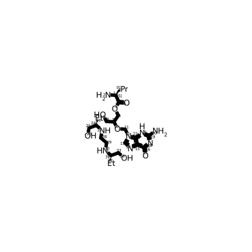 CC(C)[C@H](N)C(=O)OCC(CO)OCn1cnc2c(=O)nc(N)[nH]c21.CC[C@@H](CO)NCCN[C@@H](CC)CO